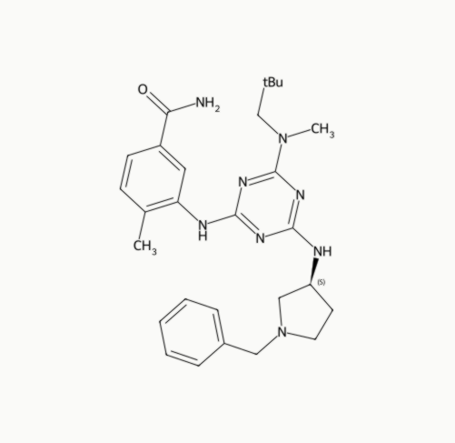 Cc1ccc(C(N)=O)cc1Nc1nc(N[C@H]2CCN(Cc3ccccc3)C2)nc(N(C)CC(C)(C)C)n1